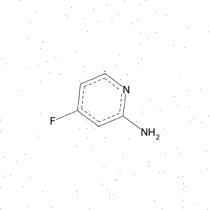 Nc1cc(F)c[c]n1